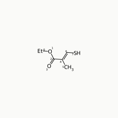 CCOC(=O)C(C)=CS